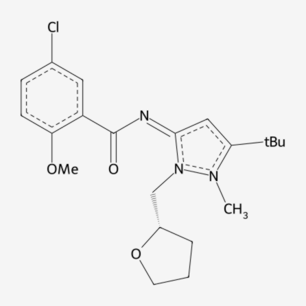 COc1ccc(Cl)cc1C(=O)N=c1cc(C(C)(C)C)n(C)n1C[C@@H]1CCCO1